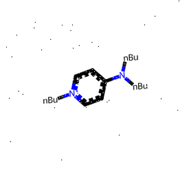 CCCCN(CCCC)c1cc[n+](CCCC)cc1